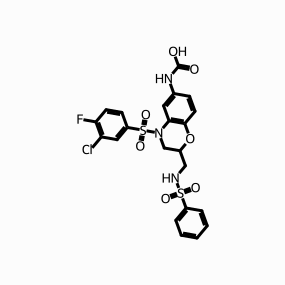 O=C(O)Nc1ccc2c(c1)N(S(=O)(=O)c1ccc(F)c(Cl)c1)CC(CNS(=O)(=O)c1ccccc1)O2